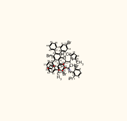 C/C(=N\c1c(C(C)C)cccc1C(C)C)C(CC(Cn1c(C)ccc1C)Oc1c(-c2ccc(Br)cc2)c(-c2ccccc2)c(Br)c(-c2ccccc2)c1-c1ccc(Br)cc1)CC(C)(C)c1ccccc1